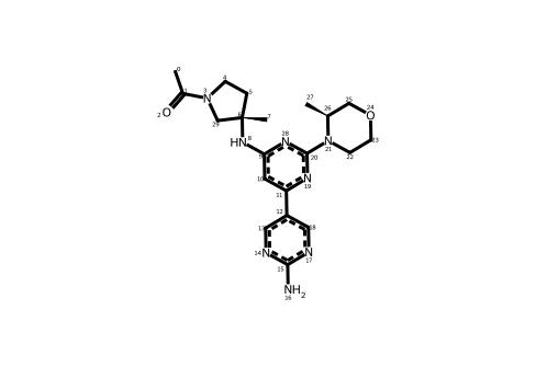 CC(=O)N1CC[C@](C)(Nc2cc(-c3cnc(N)nc3)nc(N3CCOC[C@@H]3C)n2)C1